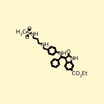 CCOC(=O)c1ccc2c(c1)NC(=O)/C2=C(\Nc1ccc(CNCCCNS(C)(=O)=O)cc1)c1ccccc1